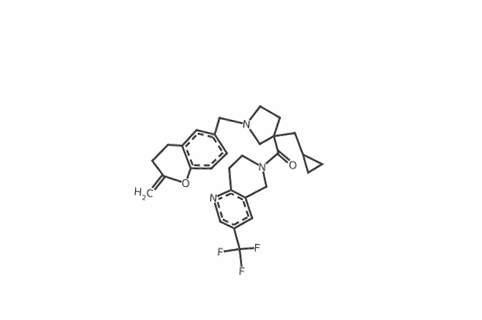 C=C1CCc2cc(CN3CCC(CC4CC4)(C(=O)N4CCc5ncc(C(F)(F)F)cc5C4)C3)ccc2O1